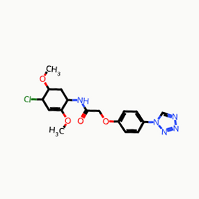 COC1=CC(Cl)C(OC)CC1NC(=O)COc1ccc(-n2cnnn2)cc1